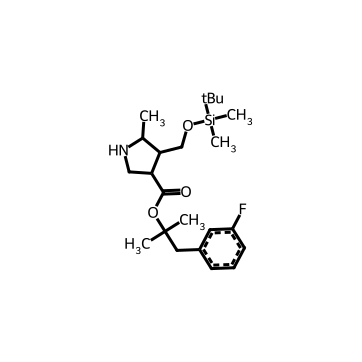 CC1NCC(C(=O)OC(C)(C)Cc2cccc(F)c2)C1CO[Si](C)(C)C(C)(C)C